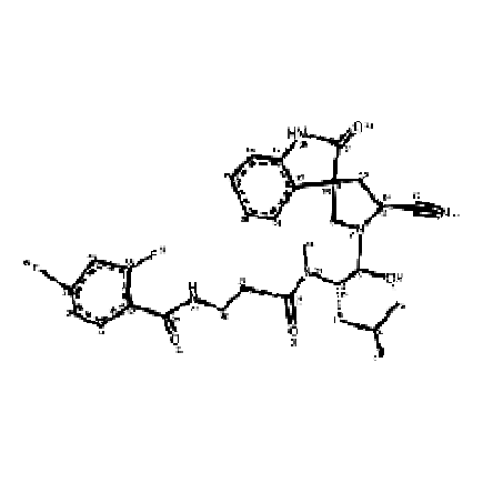 CC(C)C[C@@H](C(O)N1C[C@]2(C[C@H]1C#N)C(=O)Nc1ccccc12)N(C)C(=O)CCNC(=O)c1ccc(F)cc1F